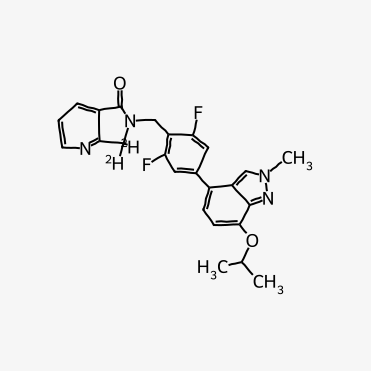 [2H]C1([2H])c2ncccc2C(=O)N1Cc1c(F)cc(-c2ccc(OC(C)C)c3nn(C)cc23)cc1F